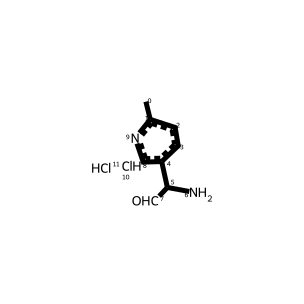 Cc1ccc(C(N)C=O)cn1.Cl.Cl